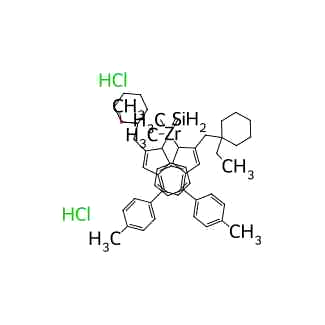 CCC1(CC2=Cc3c(-c4ccc(C)cc4)cccc3[CH]2[Zr]([CH3])([CH3])(=[SiH2])[CH]2C(CC3(CC)CCCCC3)=Cc3c(-c4ccc(C)cc4)cccc32)CCCCC1.Cl.Cl